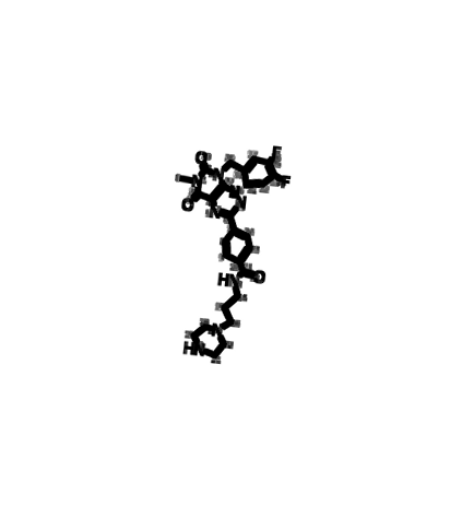 Cn1c(=O)c2nc(-c3ccc(C(=O)NCCCN4CCNCC4)cc3)nnc2n(Cc2ccc(F)c(F)c2)c1=O